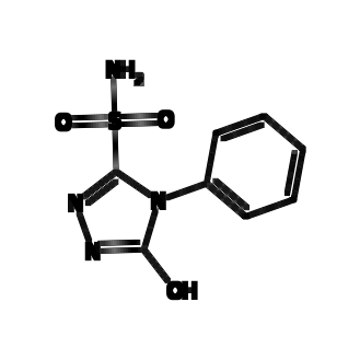 NS(=O)(=O)c1nnc(O)n1-c1ccccc1